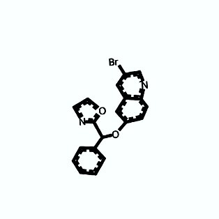 Brc1cnc2ccc(OC(c3ccccc3)c3ncco3)cc2c1